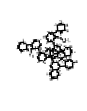 Cn1c2ccccc2c2cccc(-c3cccc4c(-c5cc6ccccc6c6c5C5(c7ccccc7-c7ccccc75)c5ccccc5-6)c5cccc(-c6cccc7c8ccccc8n(C)c67)c5cc34)c21